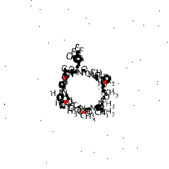 CC[C@H](C)[C@@H]1NC(=O)[C@H](CC(C)C)N(C)C(=O)C[C@@H](C(=O)N2CCCCC2)N(C)C(=O)[C@H](C2CCCCC2)N(C)C(=O)C2(CCCC2)NC(=O)[C@@H]2CC(=O)CN2C(=O)[C@H](CCc2ccc(C(F)(F)F)c(Cl)c2)NC(=O)CN(C)C(=O)[C@H](CC2CCCCC2)N(C)C(=O)CN(C)C(=O)CN(C)C1=O